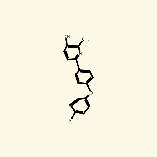 Cc1nc(-c2ccc(Oc3ccc(F)cc3)cc2)ccc1C#N